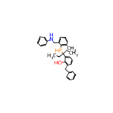 CCC(CC)(Pc1c(C)cccc1CNc1ccccc1)c1cccc(Cc2ccccc2)c1O